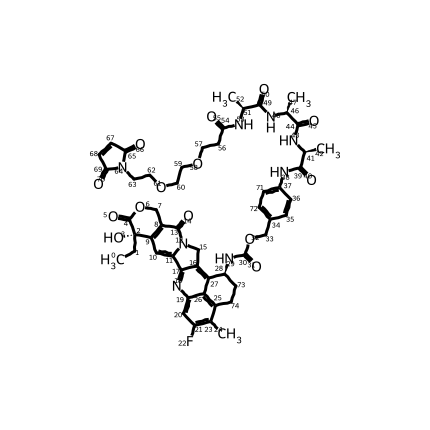 CC[C@@]1(O)C(=O)OCc2c1cc1n(c2=O)Cc2c-1nc1cc(F)c(C)c3c1c2[C@@H](NC(=O)OCc1ccc(NC(=O)[C@H](C)NC(=O)[C@H](C)NC(=O)[C@H](C)NC(=O)CCOCCOCCN2C(=O)C=CC2=O)cc1)CC3